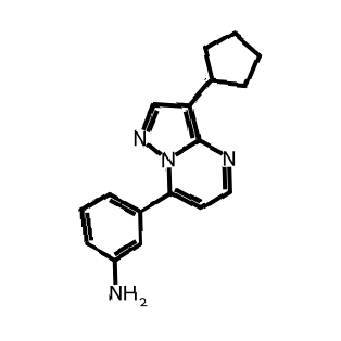 Nc1cccc(-c2ccnc3c([C]4CCCC4)cnn23)c1